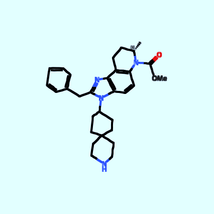 COC(=O)N1c2ccc3c(nc(Cc4ccccc4)n3C3CCC4(CCNCC4)CC3)c2CC[C@@H]1C